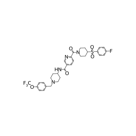 O=C(NC1CCN(Cc2ccc(OC(F)(F)F)cc2)CC1)c1ccc(C(=O)N2CCC(S(=O)(=O)c3ccc(F)cc3)CC2)nc1